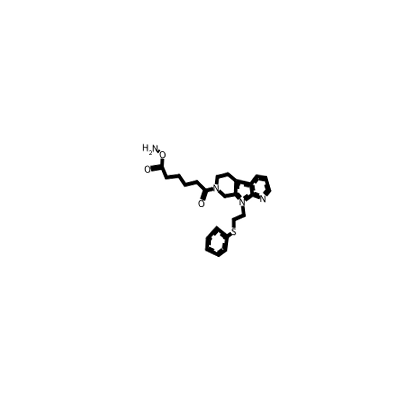 NOC(=O)CCCCC(=O)N1CCc2c(n(CCSc3ccccc3)c3ncccc23)C1